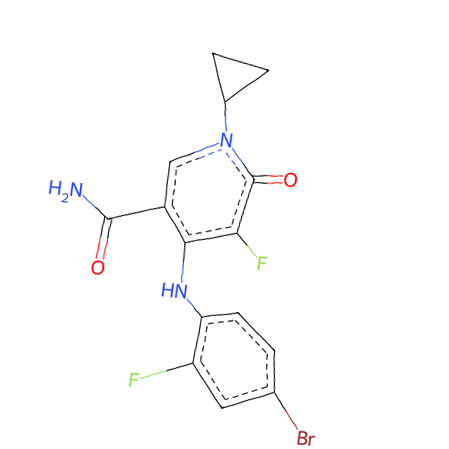 NC(=O)c1cn(C2CC2)c(=O)c(F)c1Nc1ccc(Br)cc1F